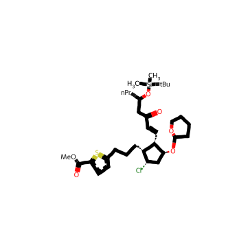 CCCC(CC(=O)C=C[C@H]1[C@@H](CCCc2ccc(C(=O)OC)s2)[C@@H](Cl)C[C@H]1OC1CCCCO1)O[Si](C)(C)C(C)(C)C